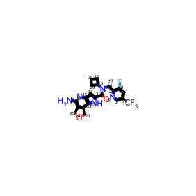 C[C@H](c1ncc(C(F)(F)F)cc1F)N(C(=O)c1cc2nc(N)c3c(c2[nH]1)COC3)C1CCC1